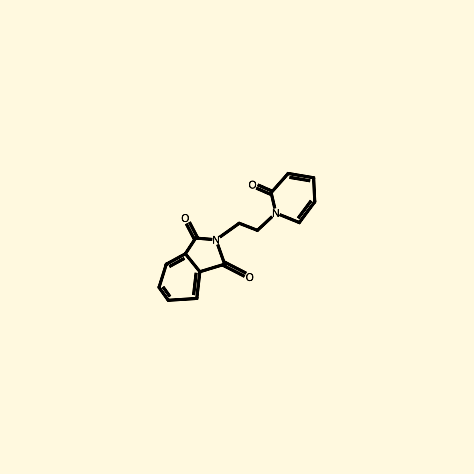 O=C1c2ccccc2C(=O)N1CCn1ccccc1=O